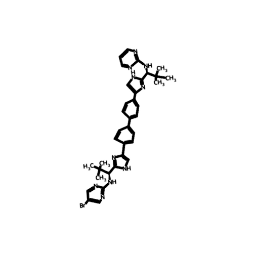 CC(C)(C)[C@H](Nc1ncccn1)c1nc(-c2ccc(-c3ccc(-c4c[nH]c([C@@H](Nc5ncc(Br)cn5)C(C)(C)C)n4)cc3)cc2)c[nH]1